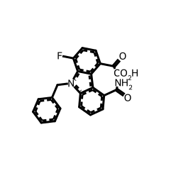 NC(=O)c1cccc2c1c1c(C(=O)C(=O)O)ccc(F)c1n2Cc1ccccc1